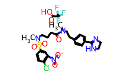 CN(CCc1ccc(C2=NCCN2)cc1)C(=O)CCCN(C)S(=O)(=O)c1ccc(Cl)c([N+](=O)[O-])c1.O=C(O)C(F)(F)F